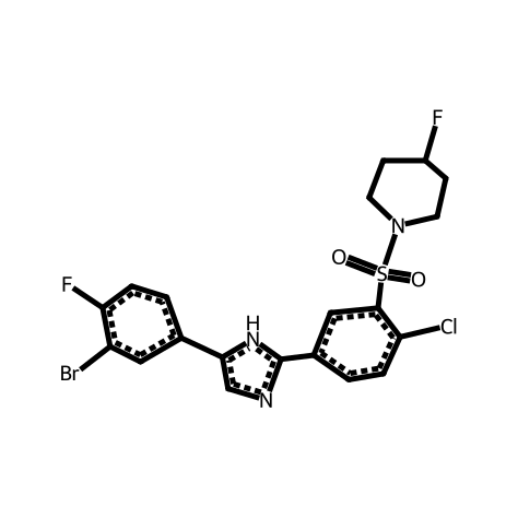 O=S(=O)(c1cc(-c2ncc(-c3ccc(F)c(Br)c3)[nH]2)ccc1Cl)N1CCC(F)CC1